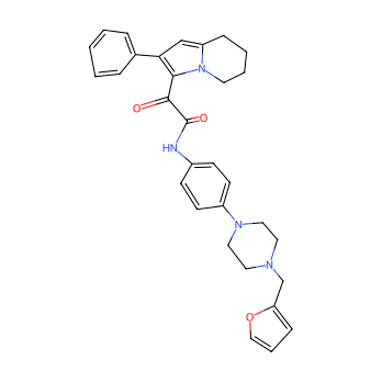 O=C(Nc1ccc(N2CCN(Cc3ccco3)CC2)cc1)C(=O)c1c(-c2ccccc2)cc2n1CCCC2